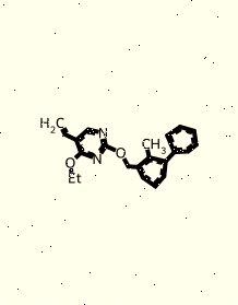 C=Cc1cnc(OCc2cccc(-c3ccccc3)c2C)nc1OCC